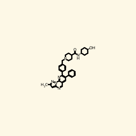 Cc1cc2ncc3cc(-c4ccccc4)c(-c4ccc(CN5CCC(C(=O)N[C@H]6CC[C@H](O)CC6)CC5)cc4)nc3n2n1